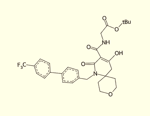 CC(C)(C)OC(=O)CNC(=O)C1=C(O)CC2(CCOCC2)N(Cc2ccc(-c3ccc(C(F)(F)F)cc3)cc2)C1=O